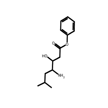 CC(C)CC(N)C(O)CC(=O)Oc1ccccc1